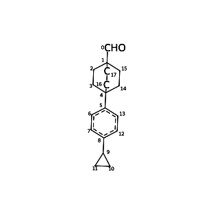 O=CC12CCC(c3ccc(C4CC4)cc3)(CC1)CC2